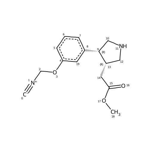 [C-]#[N+]COc1cccc([C@@H]2CNC[C@@H]2CC(=O)OC)c1